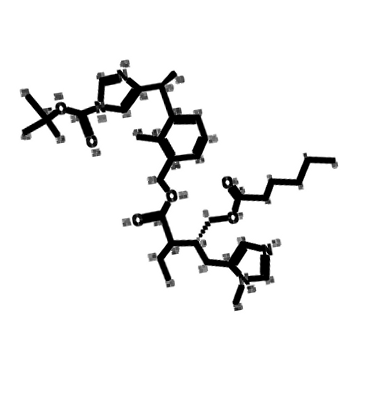 CCCCCC(=O)OC[C@H](Cc1cncn1C)C(CC)C(=O)OCc1cccc([C@H](C)c2cn(C(=O)OC(C)(C)C)cn2)c1C